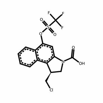 O=C(O)N1C[C@@H](CCl)c2c1cc(OS(=O)(=O)C(F)(F)F)c1ccccc21